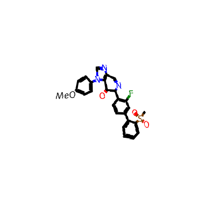 COc1ccc(-n2cnc3c2C(=O)C(c2ccc(-c4ccccc4S(C)(=O)=O)cc2F)N=C3)cc1